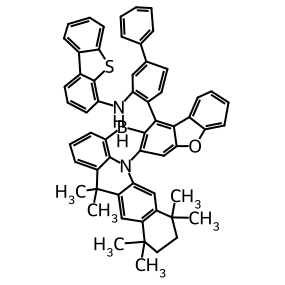 CC1(C)CCC(C)(C)c2cc3c(cc21)N1c2cc4oc5ccccc5c4c(-c4ccc(-c5ccccc5)cc4Nc4cccc5c4sc4ccccc45)c2Bc2cccc(c21)C3(C)C